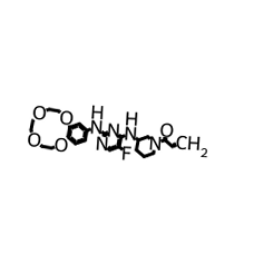 C=CC(=O)N1CCCC(Nc2nc(Nc3ccc4c(c3)OCCOCCOCCO4)ncc2F)C1